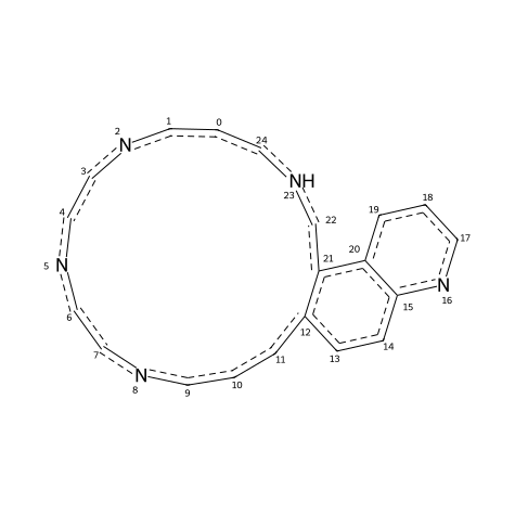 c1cnccnccncccc2ccc3ncccc3c2c[nH]c1